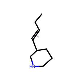 CC/C=C/C1CCCNC1